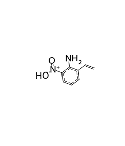 C=Cc1cccc([N+](=O)O)c1N